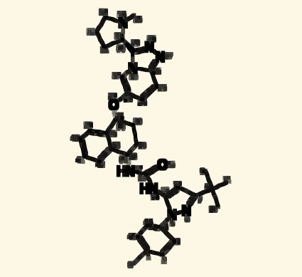 Cc1ccc(-n2nc(C(C)(C)C)cc2NC(=O)N[C@H]2CC[C@@H](Oc3ccc4nnc([C@H]5CCCN5C)n4c3)c3ccccc32)cc1